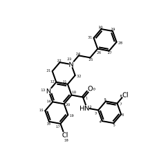 O=C(Nc1cccc(Cl)c1)c1c2c(nc3ccc(Cl)cc13)CCN(CCc1ccccc1)C2